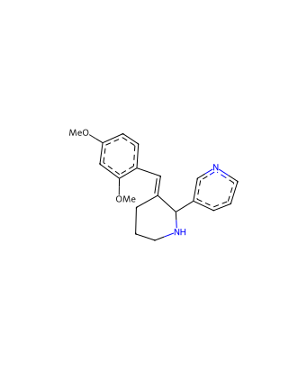 COc1ccc(/C=C2\CCCNC2c2cccnc2)c(OC)c1